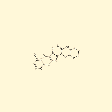 O=C(O)C(CC1CCCCC1)N1CC2=C(Oc3c(Cl)cccc3C2)C1=O